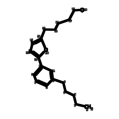 CCCCCc1cccc(-c2nnc(CCCCC[O])o2)c1